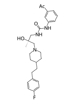 CC(=O)c1cccc(NC(=O)NC[C@](C)(O)CN2CCC(CCc3ccc(F)cc3)CC2)c1